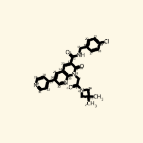 CC1(C)CN(C(=O)Cn2c(=O)c(C(=O)NCc3ccc(Cl)cc3)cc3cc(-c4ccncc4)cnc32)C1